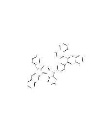 c1ccc2cc3c(cc2c1)c1c2c4ccccc4n(-c4ccc(-c5nc6ccccc6nc5-c5cccc6ccccc56)cc4)c2cc2c4ccccc4n3c21